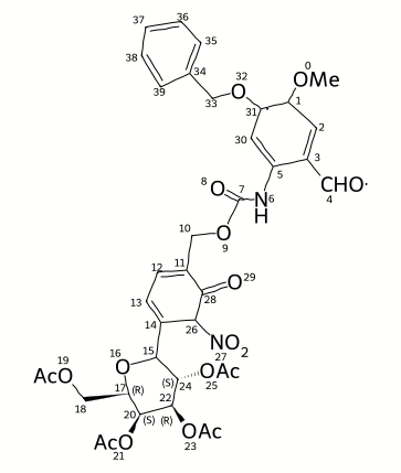 COC1C=C([C]=O)C(NC(=O)OCC2=CC=C(C3O[C@H](COC(C)=O)[C@H](OC(C)=O)[C@H](OC(C)=O)[C@H]3OC(C)=O)C([N+](=O)[O-])C2=O)=C[C]1OCc1ccccc1